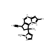 Cn1nccc1C1(C)CC(C#N)c2cnc3cc(F)nn3c21